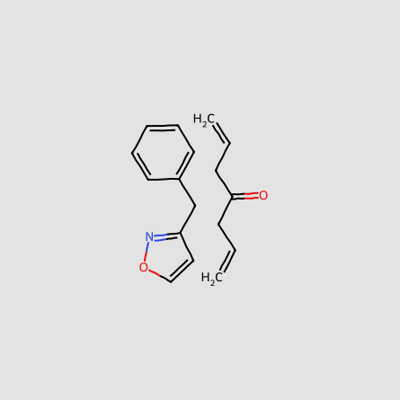 C=CCC(=O)CC=C.c1ccc(Cc2ccon2)cc1